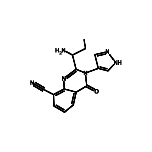 CCC(N)c1nc2c(C#N)cccc2c(=O)n1-c1cn[nH]c1